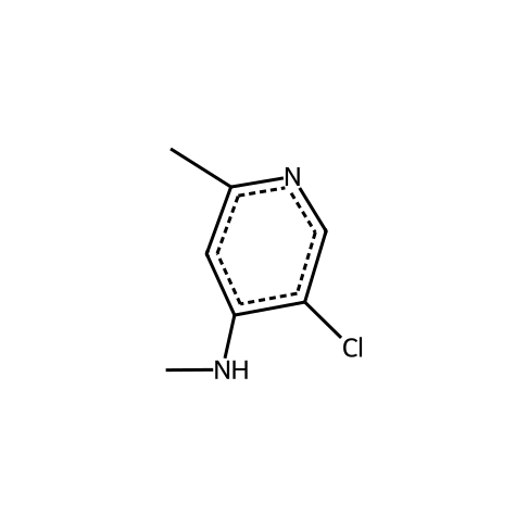 CNc1cc(C)ncc1Cl